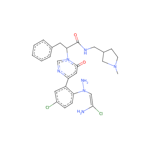 CN1CCC(CNC(=O)C(Cc2ccccc2)n2cnc(-c3cc(Cl)ccc3N(N)/C=C(\N)Cl)cc2=O)C1